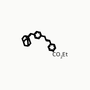 CCOC(=O)c1ccc(C=CCc2ccc(C=C3C4CC5CC(C4)CC3C5)cc2)cc1